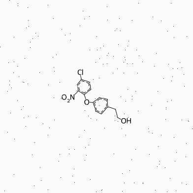 O=[N+]([O-])c1cc(Cl)ccc1Oc1ccc(CCO)cc1